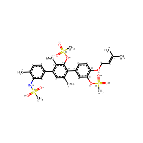 COc1cc(-c2ccc(C)c(NS(C)(=O)=O)c2)c(OC)c(OS(C)(=O)=O)c1-c1ccc(OCC=C(C)C)c(OS(C)(=O)=O)c1